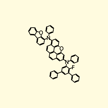 Fc1c(-c2ccccc2)cc(-c2ccccc2)cc1N(c1ccccc1)c1cc2c3c(ccc4ccc5c(N(c6ccccc6)c6cccc7c6oc6ccccc67)ccc(c5c43)O2)c1